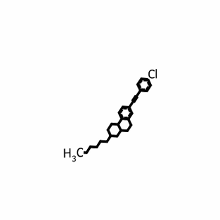 CCCCCCC1CCC2c3ccc(C#Cc4ccc(Cl)cc4)cc3CCC2C1